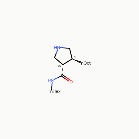 CCCCCCCC[C@@H]1CNC[C@H]1C(=O)NCCCCCC